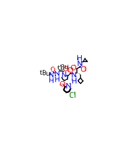 CC(C)(C)NC(=O)N[C@H](C(=O)N1C[C@H](Oc2ccc(Cl)cn2)CC1C(=O)N[C@@H](CC1CCC1)C(=O)C(=O)NC1CC1)C(C)(C)C